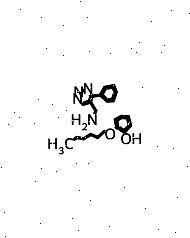 CCCCCCOc1ccccc1O.NCc1cnnnc1-c1ccccc1